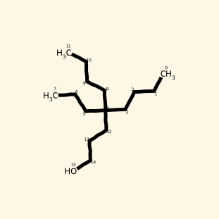 CCCCC(CCC)(CCCC)CCCO